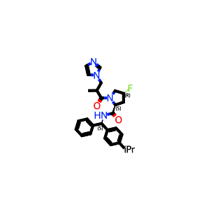 CC(Cn1ccnc1)C(=O)N1C[C@H](F)C[C@H]1C(=O)N[C@@H](c1ccccc1)c1ccc(C(C)C)cc1